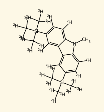 [2H]c1c([Si](C([2H])([2H])[2H])(C([2H])([2H])[2H])C([2H])([2H])[2H])c([2H])c2c3c([2H])c([Si](C([2H])([2H])[2H])(C([2H])([2H])[2H])C([2H])([2H])[2H])c([2H])c([2H])c3n(C)c2c1[2H]